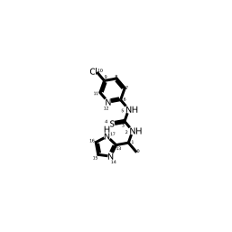 CC(NC(=S)Nc1ccc(Cl)cn1)c1ncc[nH]1